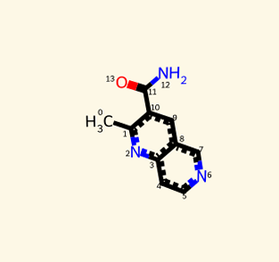 Cc1nc2ccncc2cc1C(N)=O